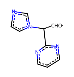 O=[C]C(c1ncccn1)n1ccnc1